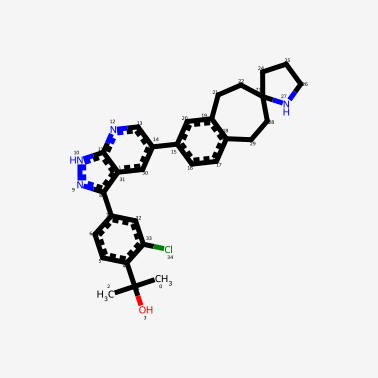 CC(C)(O)c1ccc(-c2n[nH]c3ncc(-c4ccc5c(c4)CCC4(CCCN4)CC5)cc23)cc1Cl